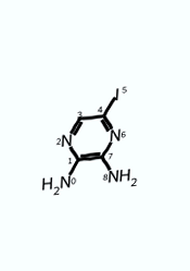 Nc1ncc(I)nc1N